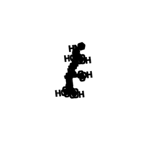 Cc1cc(N=Nc2cc(C)c(N=Nc3c(S(=O)(=O)O)cc4cc(Nc5ccccc5)ccc4c3O)cc2C)c(OCCCS(=O)(=O)O)cc1N=Nc1ccc2c(S(=O)(=O)O)cc(S(=O)(=O)O)cc2c1